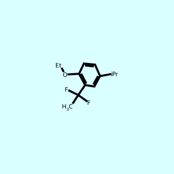 CCOc1ccc(C(C)C)cc1C(C)(F)F